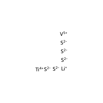 [Li+].[S-2].[S-2].[S-2].[S-2].[S-2].[Ti+4].[V+5]